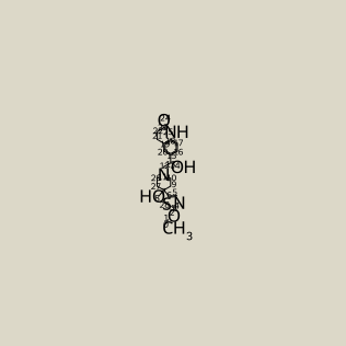 CCOc1ncc(C2(O)CCN(CC(O)c3ccc4c(c3)CCC(=O)N4)CC2)s1